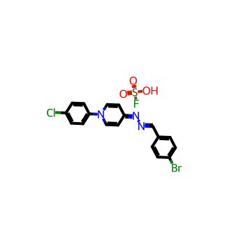 Clc1ccc(-n2ccc(=NN=Cc3ccc(Br)cc3)cc2)cc1.O=S(=O)(O)F